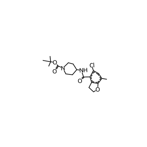 Cc1cc(Cl)c(C(=O)NC2CCN(C(=O)OC(C)(C)C)CC2)c2c1OCC2